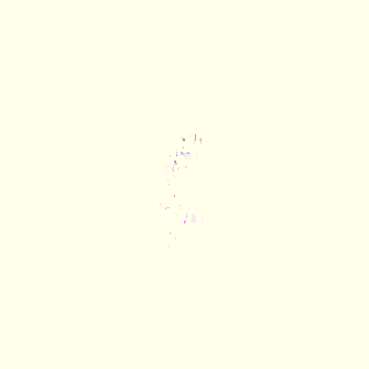 CC(C)(C)c1cc(NC(=O)Nc2ccc(Oc3ccnc4cc(OCCN5CCOCC5)c(C(N)=O)cc34)cc2Cl)[nH]n1